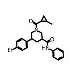 CCc1ccc(C2CC(C(=O)Nc3ccccc3)CN(C(=O)C3CC3C)C2)cc1